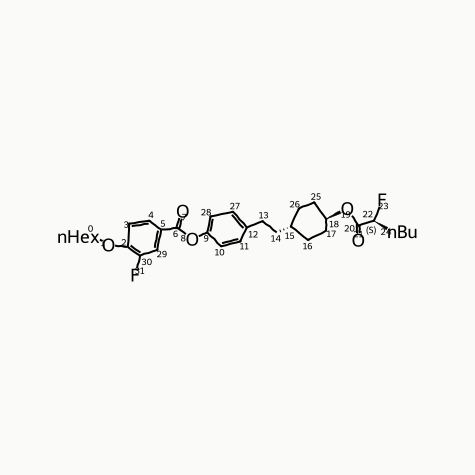 CCCCCCOc1ccc(C(=O)Oc2ccc(CC[C@H]3CC[C@H](OC(=O)[C@@H](F)CCCC)CC3)cc2)cc1F